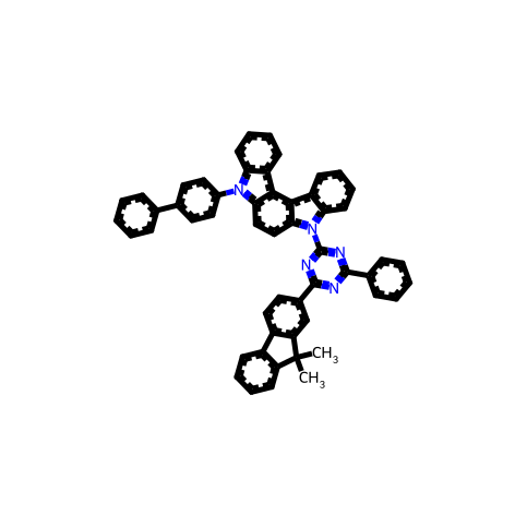 CC1(C)c2ccccc2-c2ccc(-c3nc(-c4ccccc4)nc(-n4c5ccccc5c5c6c7ccccc7n(-c7ccc(-c8ccccc8)cc7)c6ccc54)n3)cc21